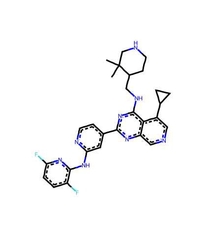 CC1(C)CNCCC1CNc1nc(-c2ccnc(Nc3nc(F)ccc3F)c2)nc2cncc(C3CC3)c12